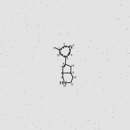 Cc1cncc(C2=CC3CNCCC3C2)c1